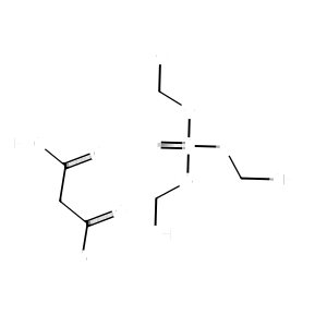 CC(=O)CC(=O)O.CCOP(=O)(OCC)OCC